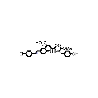 COC(=O)[C@H](Cc1ccc(O)cc1)NC(=O)c1cc(C(=O)O)c2cc(/C=C/c3ccc(Cl)cc3)ccc2n1